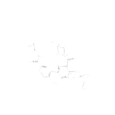 Cc1ccc(C(=O)NC2CC2)cc1-c1cnc(NC(C)(C)CO)c(C(=O)N2CC(O)C2)c1